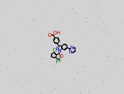 O=C(O)c1ccc(-c2nn(C(=O)c3c(Cl)cccc3C(F)(F)F)c3cc(-c4ncccn4)ccc23)cc1